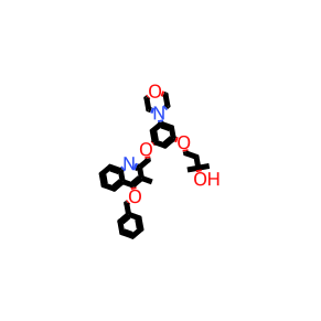 Cc1c(COc2cc(OCCC(C)(C)O)cc(N3CCOCC3)c2)nc2ccccc2c1OCc1ccccc1